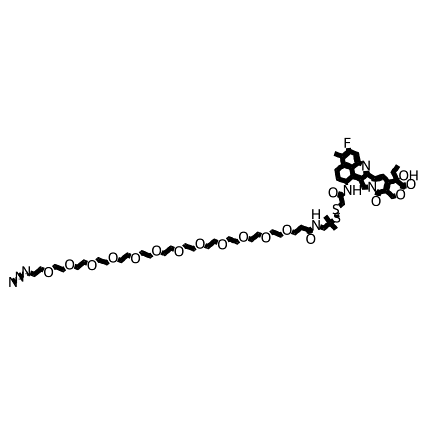 CC[C@@]1(O)C(=O)OCc2c1cc1n(c2=O)Cc2c-1nc1cc(F)c(C)c3c1c2[C@@H](NC(=O)CSSC(C)(C)CNC(=O)CCOCCOCCOCCOCCOCCOCCOCCOCCOCCOCCOCCOCCN=[N+]=[N-])CC3